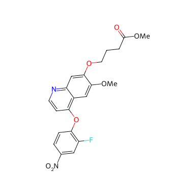 COC(=O)CCCOc1cc2nccc(Oc3ccc([N+](=O)[O-])cc3F)c2cc1OC